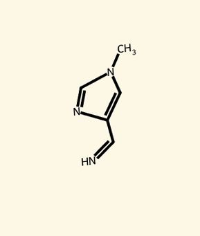 Cn1cnc(C=N)c1